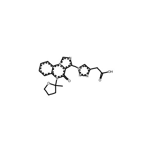 CC1(n2c(=O)c3c(-n4cc(CC(=O)O)nn4)ncn3c3ccccc32)CCCO1